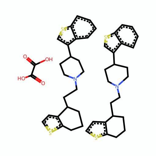 O=C(O)C(=O)O.c1ccc2c(C3CCN(CCC4CCCc5sccc54)CC3)csc2c1.c1ccc2c(C3CCN(CCC4CCCc5sccc54)CC3)csc2c1